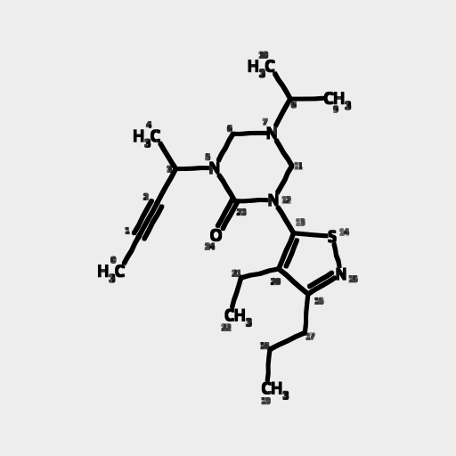 CC#CC(C)N1CN(C(C)C)CN(c2snc(CCC)c2CC)C1=O